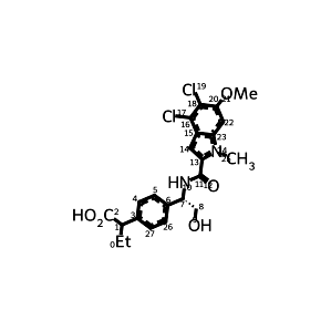 CCC(C(=O)O)c1ccc([C@@H](CO)NC(=O)c2cc3c(Cl)c(Cl)c(OC)cc3n2C)cc1